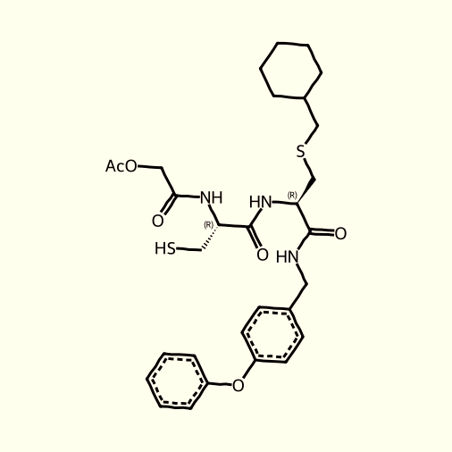 CC(=O)OCC(=O)N[C@@H](CS)C(=O)N[C@@H](CSCC1CCCCC1)C(=O)NCc1ccc(Oc2ccccc2)cc1